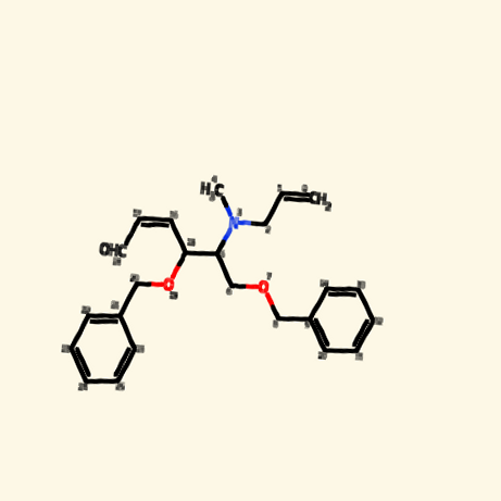 C=CCN(C)C(COCc1ccccc1)C(/C=C\C=O)OCc1ccccc1